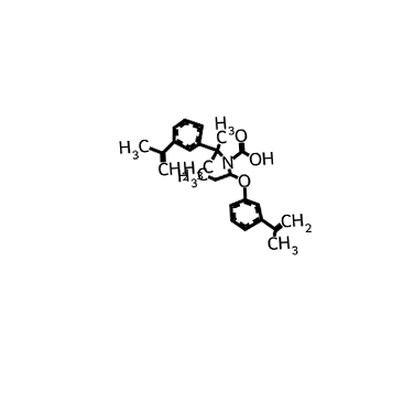 C=C(C)c1cccc(OC(CC)N(C(=O)O)C(C)(C)c2cccc(C(=C)C)c2)c1